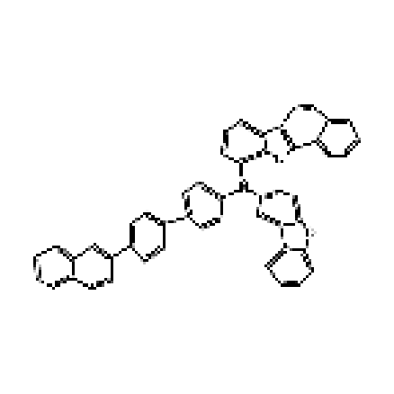 c1ccc2cc(-c3ccc(-c4ccc(N(c5ccc6oc7ccccc7c6c5)c5cccc6c5oc5c7ccccc7ccc65)cc4)cc3)ccc2c1